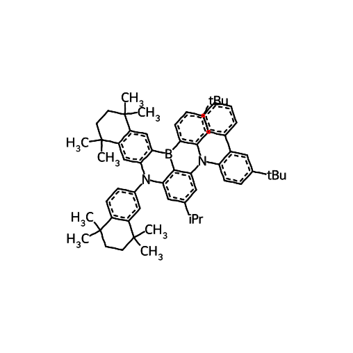 CC(C)c1cc2c3c(c1)N(c1ccc(C(C)(C)C)cc1-c1ccccc1)c1cc(C(C)(C)C)ccc1B3c1cc3c(cc1N2c1ccc2c(c1)C(C)(C)CCC2(C)C)C(C)(C)CCC3(C)C